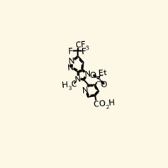 CCS(=O)(=O)c1cc(C(=O)O)cnc1-c1nc2cc(C(F)(F)C(F)(F)F)nnc2n1C